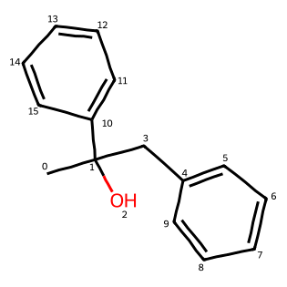 CC(O)(Cc1ccccc1)c1ccccc1